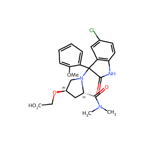 COc1ccccc1C1(N2C[C@H](OCC(=O)O)C[C@H]2C(=O)N(C)C)C(=O)Nc2ccc(Cl)cc21